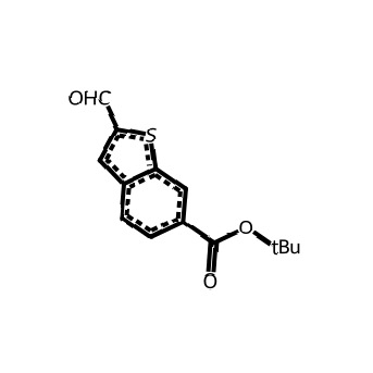 CC(C)(C)OC(=O)c1ccc2cc(C=O)sc2c1